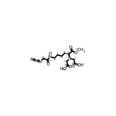 COC(=O)[C@H](CCCCNC(=O)CN=[N+]=[N-])N(CC(=O)O)CC(=O)O